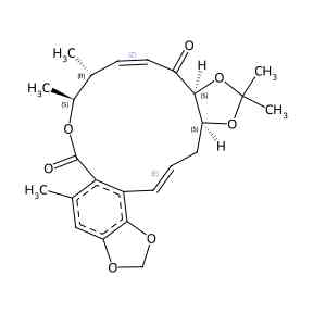 Cc1cc2c(c3c1C(=O)O[C@@H](C)[C@H](C)/C=C\C(=O)[C@H]1OC(C)(C)O[C@H]1C/C=C/3)OCO2